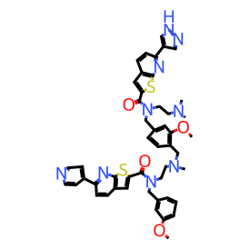 COc1cccc(CN(CCN(C)Cc2ccc(CN(CCN(C)C)C(=O)c3cc4ccc(-c5cn[nH]c5)nc4s3)cc2OC)C(=O)c2cc3ccc(-c4ccncc4)nc3s2)c1